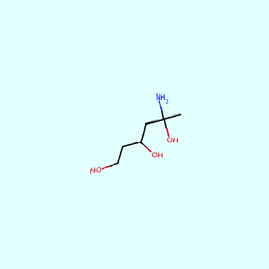 CC(N)(O)CC(O)CCO